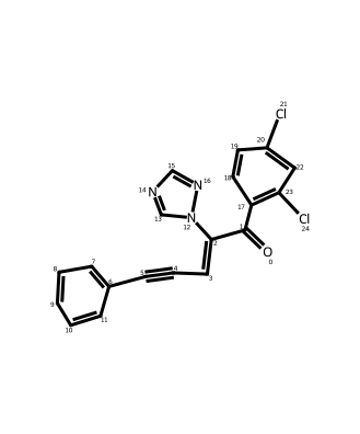 O=C(/C(=C/C#Cc1ccccc1)n1cncn1)c1ccc(Cl)cc1Cl